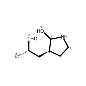 CC[C@H](C=O)C[C@@H]1CCNC1O